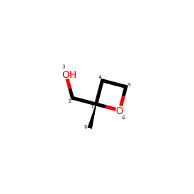 C[C@@]1(CO)CCO1